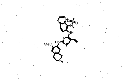 C=Cc1cnc(Nc2cc3c(cc2OC)CCN(C)C3)nc1Nc1ccc2nccnc2c1N(C)S(C)(=O)=O